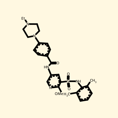 CCN1CCN(c2ccc(C(=O)Nc3cnc(OC)c(S(=O)(=O)Nc4c(C)cccc4C)c3)cc2)CC1